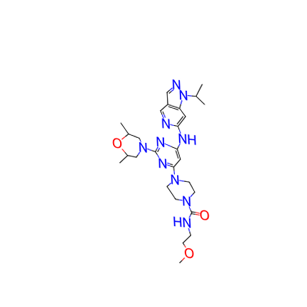 COCCNC(=O)N1CCN(c2cc(Nc3cc4c(cn3)cnn4C(C)C)nc(N3CC(C)OC(C)C3)n2)CC1